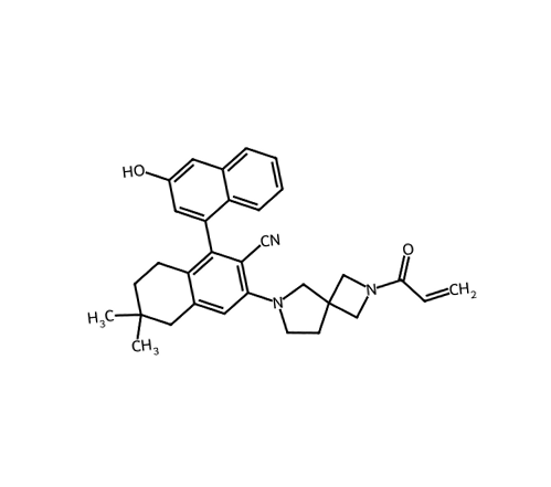 C=CC(=O)N1CC2(CCN(c3cc4c(c(-c5cc(O)cc6ccccc56)c3C#N)CCC(C)(C)C4)C2)C1